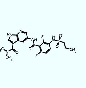 CCCS(=O)(=O)Nc1ccc(F)c(C(=O)Nc2cnc3[nH]cc(C(=O)N(C)C)c3c2)c1F